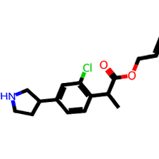 C=CCOC(=O)C(C)c1ccc(C2CCNC2)cc1Cl